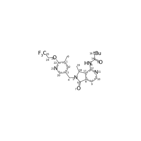 Cc1cc(CN2C(=O)c3ccnc(NC(=O)C(C)(C)C)c3C2C)cnc1OCC(F)(F)F